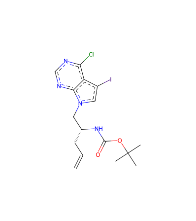 C=CC[C@H](Cn1cc(I)c2c(Cl)ncnc21)NC(=O)OC(C)(C)C